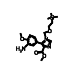 COC(=O)c1ncn(COCC[Si](C)(C)C)c1-c1ccc(OC)c(N)c1